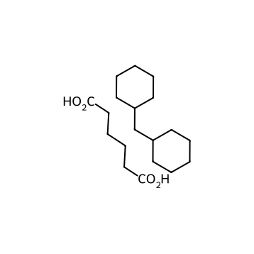 C1CCC(CC2CCCCC2)CC1.O=C(O)CCCCC(=O)O